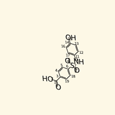 O=C(O)c1ccc(S(=O)(=O)Nc2ccc(O)cc2)cc1